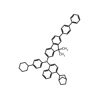 CC1(C)c2cc(-c3ccc(-c4ccccc4)cc3)ccc2-c2ccc(N(c3ccc(C4CCCCC4)cc3)c3ccc(C4CC5CCC4C5)c4ccccc34)cc21